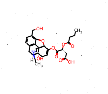 CCCC(=O)O[C@H](CC(=O)O)C(=O)OC1=CC[C@@]2(O)[C@H]3Cc4ccc(CO)c5c4C2(CCN3C)C1O5